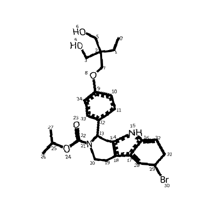 CCC(CO)(CO)COc1ccc(C2c3[nH]c4c(c3CCN2C(=O)OC(C)C)=CC(Br)CC=4)cc1